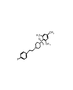 Cc1cc(C)c(S(=O)(=O)C2CCN(CCc3ccc(F)cc3)CC2)c(C)c1